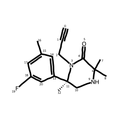 C#CCN1C(=O)C(C)(C)NC[C@@]1(C)c1cc(C)cc(F)c1